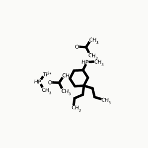 CC(C)[O-].CC(C)[O-].CCCC1(CCC)CCCC(PC)C1.C[PH][Ti+2]